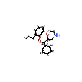 CCCc1ccccc1OC(c1ccccc1)C1CNCCO1